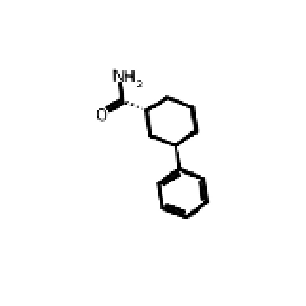 NC(=O)[C@@H]1CCC[C@@H](c2ccccc2)C1